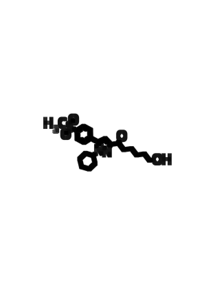 CS(=O)(=O)c1ccc(-c2cc(C(=O)CCCCCO)nn2C2CCCCC2)cc1